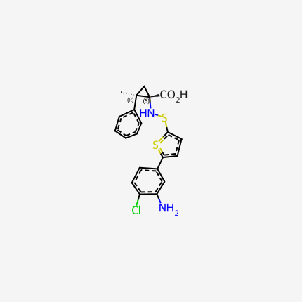 C[C@]1(c2ccccc2)C[C@@]1(NSc1ccc(-c2ccc(Cl)c(N)c2)s1)C(=O)O